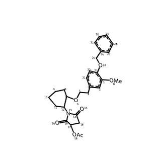 COc1cc(CCOC2CCCCC2N2C(=O)CC(OC(C)=O)C2=O)ccc1OCc1ccccc1